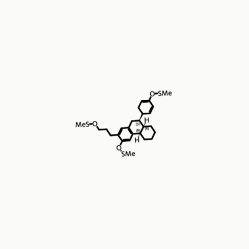 CSOCCCc1cc2c(cc1OSC)[C@@H]1CCCC[C@@H]1[C@H](C1C=CC(OSC)=CC1)C2